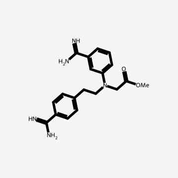 COC(=O)CN(CCc1ccc(C(=N)N)cc1)c1cccc(C(=N)N)c1